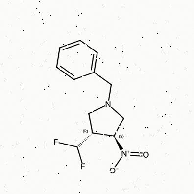 O=[N+]([O-])[C@@H]1CN(Cc2ccccc2)C[C@H]1C(F)F